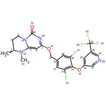 C[C@H]1CCn2c(cc(OCc3cc(F)c(Oc4cncc(C(F)(F)F)c4)c(F)c3)nc2=O)N1C